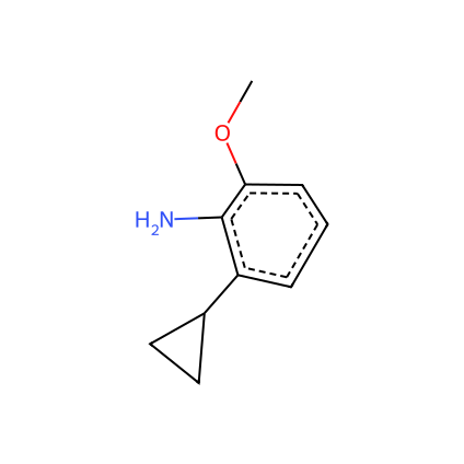 COc1cccc(C2CC2)c1N